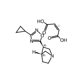 C1CC1c1noc([C@H]2CN3CC[C@H]2C3)n1.O=C(O)/C=C\C(=O)O